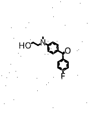 CN(CCO)c1ccc(C(=O)c2ccc(F)cc2)cc1